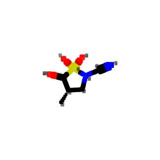 C[C@H]1CN(C#N)S(=O)(=O)C1=O